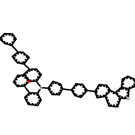 c1ccc(-c2ccc(-c3ccc(N(c4ccc(-c5ccc(-c6ccc7c(ccc8oc9ccccc9c87)c6)cc5)cc4)c4ccccc4-c4ccccc4)cc3)cc2)cc1